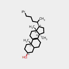 CC(C)CCCC(C)[C@H]1CC[C@@]2(C)C3=C(CC[C@]12C)[C@@]1(C)CC[C@H](O)CC1CC3